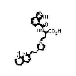 O=C(NC(CCN1CC[C@@H](CCc2ccc3c(n2)NCCC3)C1)C(=O)O)c1cccc2cn[nH]c12